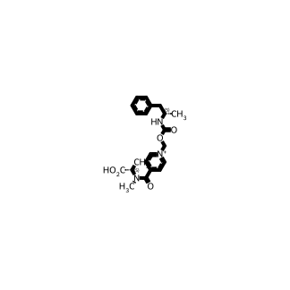 C[C@@H](Cc1ccccc1)NC(=O)OC[n+]1ccc(C(=O)N(C)[C@@H](C)C(=O)O)cc1